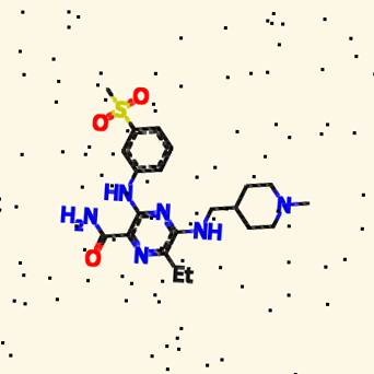 CCc1nc(C(N)=O)c(Nc2cccc(S(C)(=O)=O)c2)nc1NCC1CCN(C)CC1